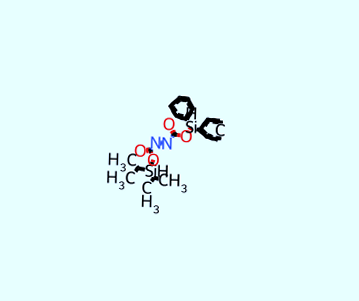 CC(C)[SiH](OC(=O)N=NC(=O)O[SiH](c1ccccc1)c1ccccc1)C(C)C